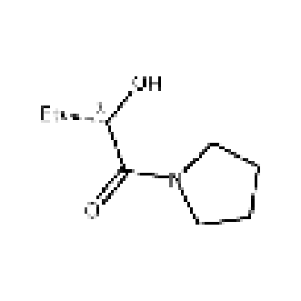 CC[C@H](O)C(=O)N1CCCC1